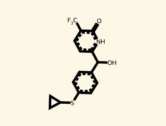 O=c1[nH]c(C(O)c2ccc(SC3CC3)cc2)ccc1C(F)(F)F